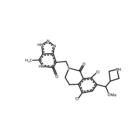 COC(c1cc(Cl)c2c(c1Cl)C(=O)N(Cc1c(=O)[nH]c(C)c3[nH]nnc13)CC2)C1CNC1